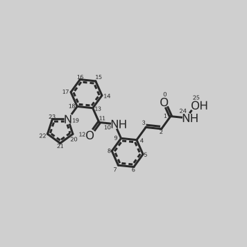 O=C(C=Cc1ccccc1NC(=O)c1ccccc1-n1cccc1)NO